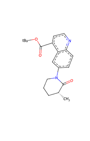 C[C@@H]1CCCN(c2ccc3nccc(C(=O)OC(C)(C)C)c3c2)C1=O